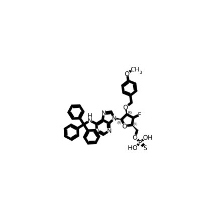 COc1ccc(CO[C@H]2C(F)[C@@H](COP(O)(O)=S)O[C@H]2n2cnc3c(NC(c4ccccc4)(c4ccccc4)c4ccccc4)ncnc32)cc1